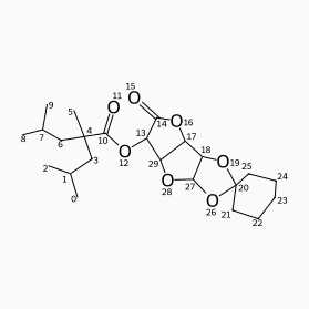 CC(C)CC(C)(CC(C)C)C(=O)OC1C(=O)OC2C3OC4(CCCCC4)OC3OC12